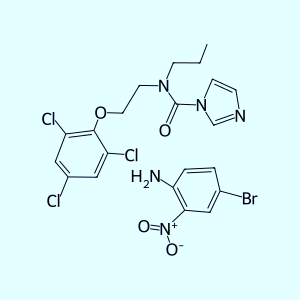 CCCN(CCOc1c(Cl)cc(Cl)cc1Cl)C(=O)n1ccnc1.Nc1ccc(Br)cc1[N+](=O)[O-]